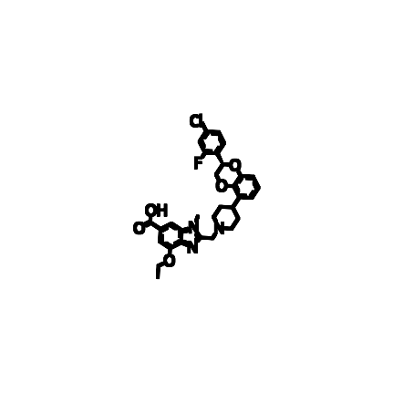 CCOc1cc(C(=O)O)cc2c1nc(CN1CCC(c3cccc4c3OC[C@@H](c3ccc(Cl)cc3F)O4)CC1)n2C